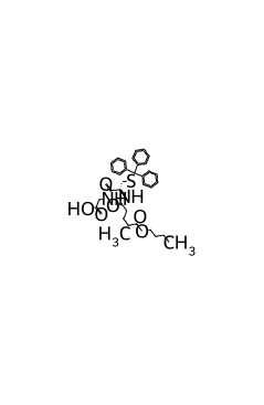 CCCCOC(=O)[C@@H](C)CCC(=O)N[C@@H](CSC(c1ccccc1)(c1ccccc1)c1ccccc1)C(=O)NCC(=O)O